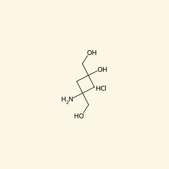 Cl.NC1(CO)CC(O)(CO)C1